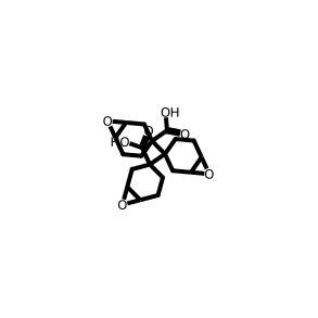 O=C(O)C1(C2(C3(C(=O)O)CCC4OC4C3)CCC3OC3C2)CCC2OC2C1